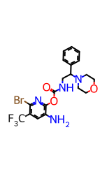 Nc1cc(C(F)(F)F)c(Br)nc1OC(=O)NCC(c1ccccc1)N1CCOCC1